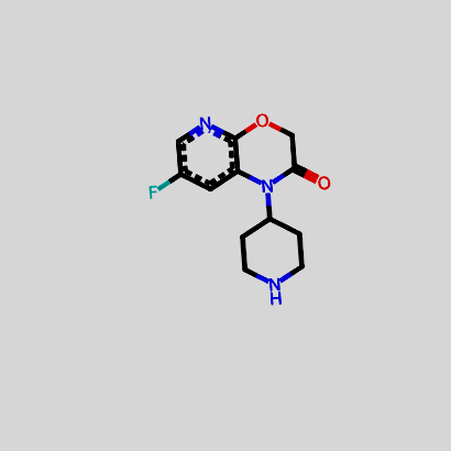 O=C1COc2ncc(F)cc2N1C1CCNCC1